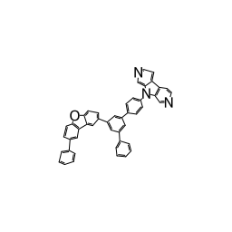 c1ccc(-c2cc(-c3ccc(-n4c5cnccc5c5ccncc54)cc3)cc(-c3ccc4oc5ccc(-c6ccccc6)cc5c4c3)c2)cc1